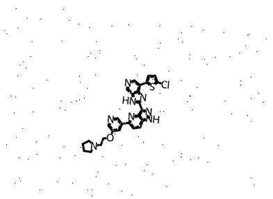 Clc1ccc(-c2cncc3[nH]c(-c4n[nH]c5ccc(-c6cncc(OCCN7CCCC7)c6)nc45)nc23)s1